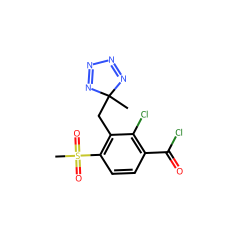 CC1(Cc2c(S(C)(=O)=O)ccc(C(=O)Cl)c2Cl)N=NN=N1